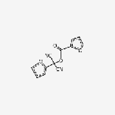 N#CC(C#N)(OC(=O)c1ccco1)c1ccco1